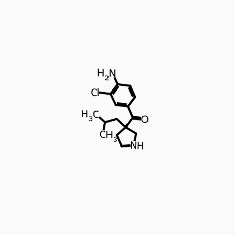 CC(C)CC1(C(=O)c2ccc(N)c(Cl)c2)CCNC1